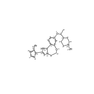 CC(Oc1ccc2c(c1)OCCN1C=C(c3ncnn3C(C)C)NC21)C1CCN(C(C)C)CC1